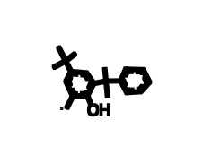 [CH2]c1cc(C(C)(C)C)cc(C(C)(C)c2ccccc2)c1O